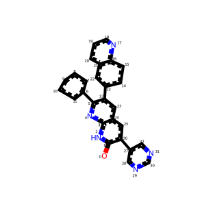 O=c1[nH]c2nc(-c3ccccc3)c(-c3ccc4ncccc4c3)cc2cc1-c1cncnc1